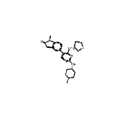 CN1C(=O)Cc2cc(-c3cnc(N[C@H]4CC[C@H](C)CC4)nc3O[C@@H]3CCOC3)ccc21